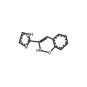 C1=C(c2ncc[nH]2)NOc2ccccc21